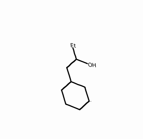 CCC(O)CC1C[CH]CCC1